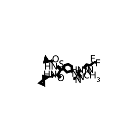 Cn1nc(C(F)F)cc1Nc1nncn1[C@H]1CCc2sc(NC(=O)C3CC3)c(C(=O)NC[C@H]3CC34CC4)c2C1